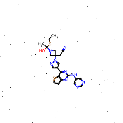 CCSC(C)(O)N1CC(CC#N)(n2cc(-c3nc(Nc4cncnc4)nc4ccsc34)cn2)C1